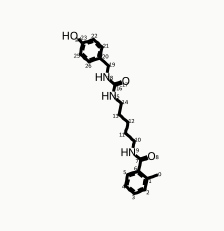 Cc1ccccc1C(=O)NCCCCCNC(=O)NCc1ccc(O)cc1